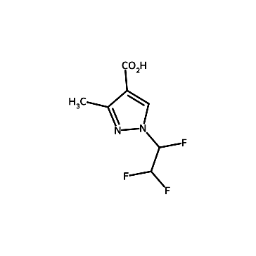 Cc1nn(C(F)C(F)F)cc1C(=O)O